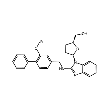 CC(C)Oc1cc(CNc2nc3ccccc3n2[C@H]2CC[C@@H](CO)O2)ccc1-c1ccccc1